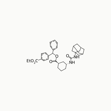 CCOC(=O)c1ccc(C(OC(=O)[C@@H]2CCC[C@@H](NC(=O)NC34CC5CC(CC(C5)C3)C4)C2)c2ccccc2)cc1